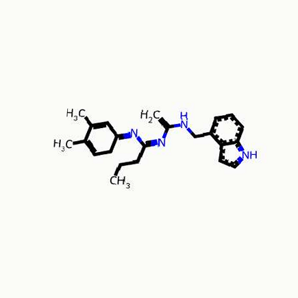 C=C(/N=C(CCC)\N=C1\C=C(C)C(C)=CC1)NCc1cccc2[nH]ccc12